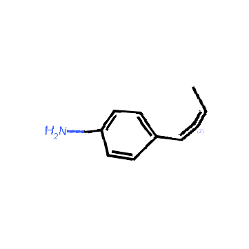 C/C=C\c1ccc(N)cc1